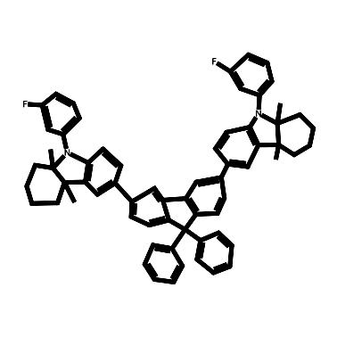 CC12CCCCC1(C)N(c1cccc(F)c1)c1ccc(-c3ccc4c(c3)-c3cc(-c5ccc6c(c5)C5(C)CCCCC5(C)N6c5cccc(F)c5)ccc3C4(c3ccccc3)c3ccccc3)cc12